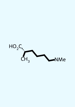 CNCCCC[C@H](C)C(=O)O